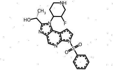 C[C@@H](O)c1nc2cnc3c(ccn3S(=O)(=O)c3ccccc3)c2n1C1CCNCC1F